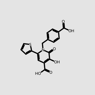 O=C(O)c1ccc(Cn2c(-c3cccs3)cc(C(=O)O)c(O)c2=O)cc1